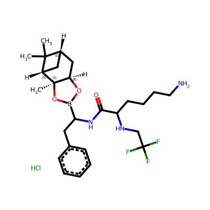 CC1(C)[C@@H]2C[C@H]3OB(C(Cc4ccccc4)NC(=O)C(CCCCN)NCC(F)(F)F)O[C@@]3(C)[C@H]1C2.Cl